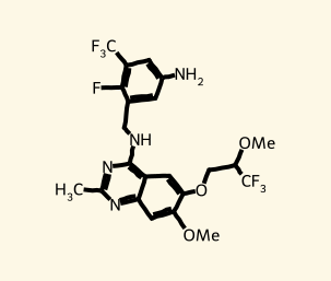 COc1cc2nc(C)nc(NCc3cc(N)cc(C(F)(F)F)c3F)c2cc1OCC(OC)C(F)(F)F